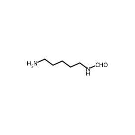 NCCCCCNC=O